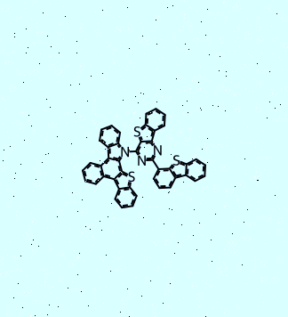 c1ccc2c(c1)sc1c(-c3nc(-n4c5ccccc5c5c6ccccc6c6c7ccccc7sc6c54)c4sc5ccccc5c4n3)cccc12